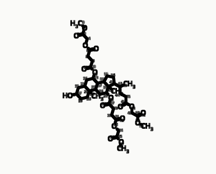 COC(=O)COC(=O)CCC(=O)OC1CC2CC(O)CCC2(C)C2CC(OC(=O)CCC(=O)OCC(=O)OC)C3(C)C(C(C)CCC(=O)OCC(=O)OC)CCC3C12